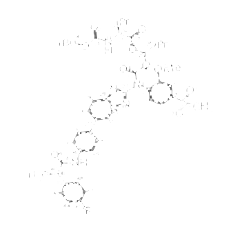 COc1cc(S(C)(=O)=O)ccc1N(C(=O)OC(OC(=O)[C@@H](NC(=O)OC(C)(C)C)C(C)C)C(C)C)c1nc2ccc(-c3ccc(NC(=O)[C@H](C)c4ccc(F)cc4)cc3)cn2n1